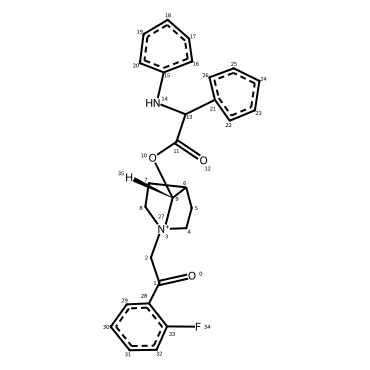 O=C(C[N+]12CCC(CC1)[C@@H](OC(=O)C(Nc1ccccc1)c1ccccc1)C2)c1ccccc1F